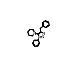 c1ccc(Cc2nnn(-c3ccccc3)c2N2CCCCC2)cc1